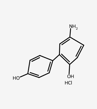 Cl.Nc1ccc(O)c(-c2ccc(O)cc2)c1